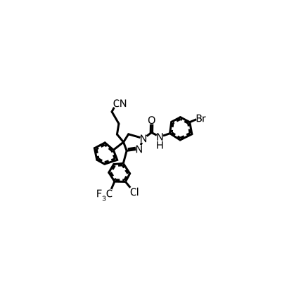 N#CCCCC1(c2ccccc2)CN(C(=O)Nc2ccc(Br)cc2)N=C1c1ccc(C(F)(F)F)c(Cl)c1